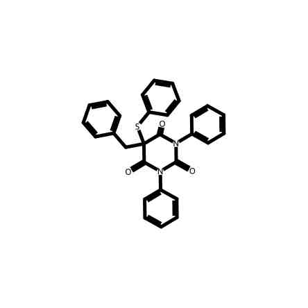 O=C1N(c2ccccc2)C(=O)C(Cc2ccccc2)(Sc2ccccc2)C(=O)N1c1ccccc1